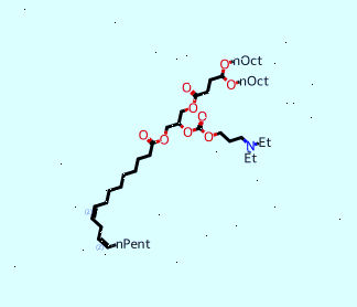 CCCCC/C=C\C/C=C\CCCCCCCC(=O)OCC(COC(=O)CCC(OCCCCCCCC)OCCCCCCCC)OC(=O)OCCCN(CC)CC